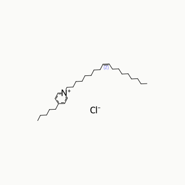 CCCCCCCC/C=C\CCCCCCCC[n+]1ccc(CCCCC)cc1.[Cl-]